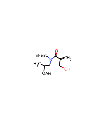 C=C(CO)C(=O)N(CCCCC)CC(C)OC